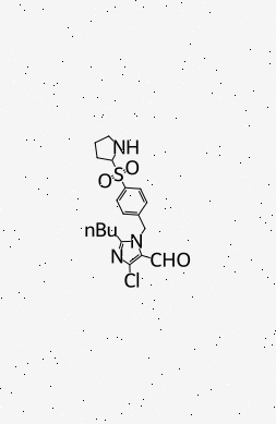 CCCCc1nc(Cl)c(C=O)n1Cc1ccc(S(=O)(=O)C2CCCN2)cc1